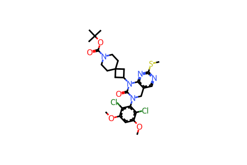 COc1cc(OC)c(Cl)c(N2Cc3cnc(SC)nc3N(C3CC4(CCN(C(=O)OC(C)(C)C)CC4)C3)C2=O)c1Cl